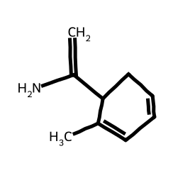 C=C(N)C1CC=CC=C1C